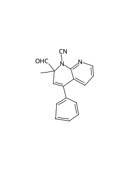 CC1(C=O)C=C(c2ccccc2)c2cccnc2N1C#N